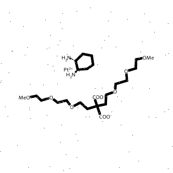 COCCOCCOCCC(CCOCCOCCOC)(C(=O)[O-])C(=O)[O-].N[C@@H]1CCCC[C@H]1N.[Pt+2]